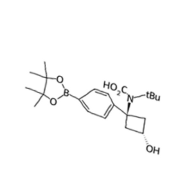 CC(C)(C)N(C(=O)O)[C@]1(c2ccc(B3OC(C)(C)C(C)(C)O3)cc2)C[C@@H](O)C1